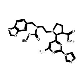 CNC(=O)C1CCN(CCN(Cc2ccc3c(c2)OCO3)C(=O)OC(C)(C)C)C1c1cc(C)nc(-n2ccnc2)n1